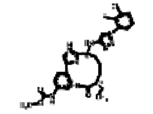 CC[C@H]1CCC[C@H](Nc2cn(-c3cccc(Cl)c3F)nn2)c2nc(c[nH]2)-c2ccc(NC(=O)OC)cc2NC1=O